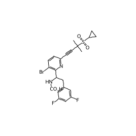 CC(C)(C#Cc1ccc(Br)c(C(Cc2cc(F)cc(F)c2)NC(=O)O)n1)S(=O)(=O)C1CC1